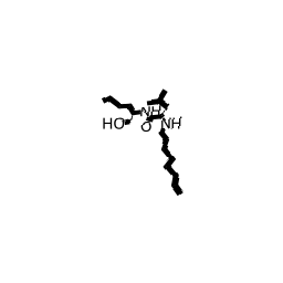 CCCCCCCCN[C@@H](CC(C)C)C(=O)N[C@H](CO)CCCC